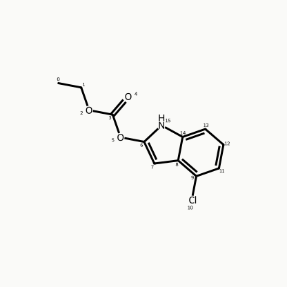 CCOC(=O)Oc1cc2c(Cl)cccc2[nH]1